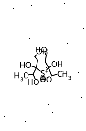 CC(O)C(O)(CCO)[S+]([O-])C(O)(CCO)C(C)O